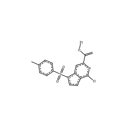 C=C(OCC)c1cc2c(ccn2S(=O)(=O)c2ccc(C)cc2)c(Cl)n1